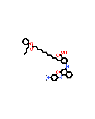 CCCCC1(OC(=O)CCCCCCCCCCc2cc(N=c3cc4oc5cc(N(C)C)ccc5nc-4c4ccccc34)ccc2C(=O)O)C=CC=CC1